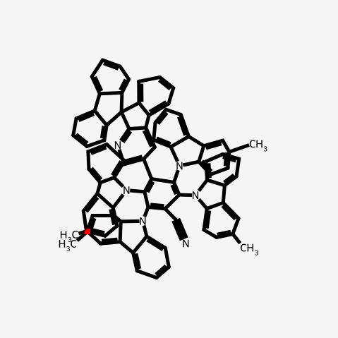 Cc1ccc2c(c1)c1ccccc1n2-c1c(C#N)c(-n2c3ccccc3c3cc(C)ccc32)c(-n2c3ccccc3c3cc(C)ccc32)c(-c2cnc3c(c2)-c2ccccc2C32c3ccccc3-c3ccccc32)c1-n1c2ccccc2c2cc(C)ccc21